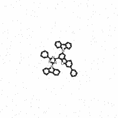 c1ccc(-c2ccc3c(c2)oc2c(-c4nc(-c5ccccc5)nc(-n5c6ccccc6c6ccccc65)n4)cc(-n4c5ccccc5c5ccccc54)cc23)cc1